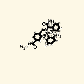 COC(=O)c1ccc(CN([C@@H](C(N)=O)c2ccccc2)S(=O)(=O)c2cc(F)ccc2C)cc1